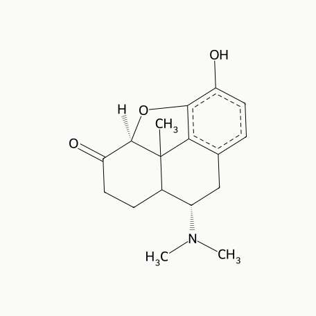 CN(C)[C@H]1Cc2ccc(O)c3c2C2(C)C1CCC(=O)[C@H]2O3